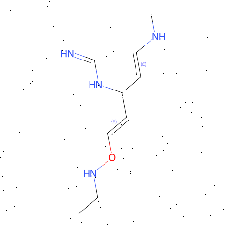 CCNO/C=C/C(/C=C/NC)NC=N